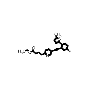 CCOC(=O)CCCc1ccc(C#Cc2cc(F)ccc2-c2ccc(C)s2)cn1